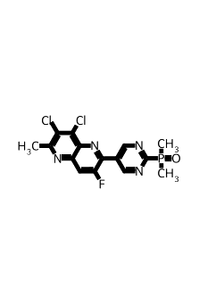 Cc1nc2cc(F)c(-c3cnc(P(C)(C)=O)nc3)nc2c(Cl)c1Cl